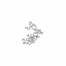 CC(=O)[C@H]1CC[C@H]2[C@@H]3CC[C@H]4CC(O)(O)[C@@H](N5CCOC(C)(C)C5)C[C@]4(C)[C@H]3CC[C@]12C